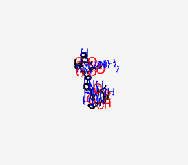 CC(C)C[C@@H]1NC(=O)[C@H]2CCCN2C(O)[C@H](Cc2ccccc2)NC(=O)[C@@H](Cc2c[nH]c3c(-c4cccc(C[C@@H]5NC(=O)[C@@H](CCC(N)=O)NC(=O)[C@H](Cc6ccccc6)NC(=O)[C@H]6CCCN6C5=O)c4)cccc23)NC1=O